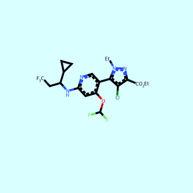 CCOC(=O)c1nn(CC)c(-c2cnc(NC(CC(F)(F)F)C3CC3)cc2OC(F)F)c1Cl